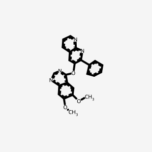 COc1cc2ncnc(Oc3cc4cccnc4nc3-c3ccccc3)c2cc1OC